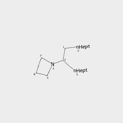 CCCCCCCCC(CCCCCCC)N1CCC1